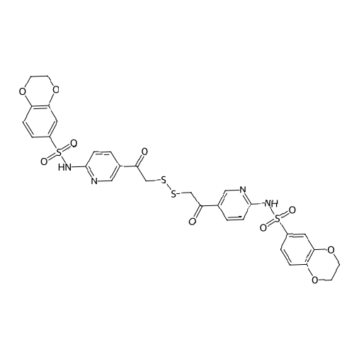 O=C(CSSCC(=O)c1ccc(NS(=O)(=O)c2ccc3c(c2)OCCO3)nc1)c1ccc(NS(=O)(=O)c2ccc3c(c2)OCCO3)nc1